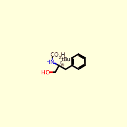 CC(C)(C)[C@@](CO)(Cc1ccccc1)NC(=O)O